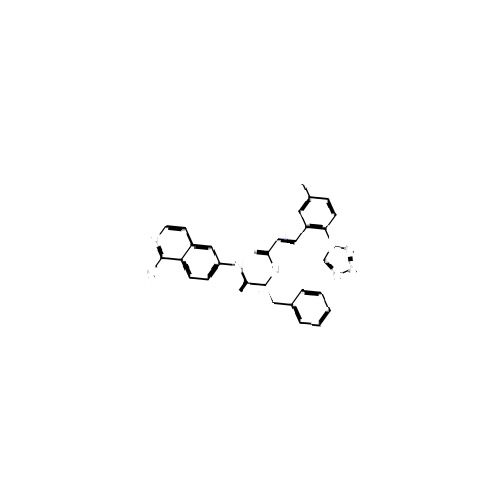 Nc1nccc2cc(NC(=O)[C@H](Cc3ccccc3)NC(=O)/C=C/c3cc(Cl)ccc3-n3cnnn3)ccc12